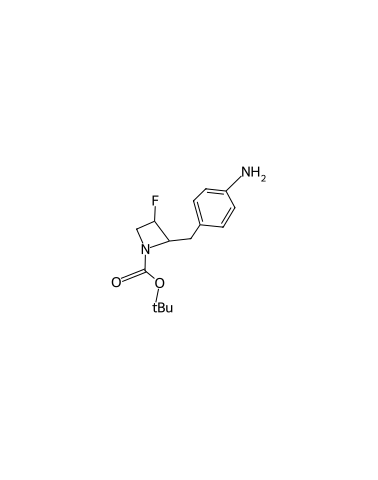 CC(C)(C)OC(=O)N1CC(F)C1Cc1ccc(N)cc1